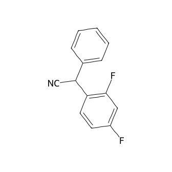 N#CC(c1ccccc1)c1ccc(F)cc1F